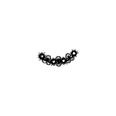 O=C(Oc1ccccc1)Oc1ccc(S(=O)(=O)c2ccc(OC(=O)Oc3ccccc3)cc2)cc1